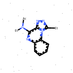 CCc1nnc2c(N(CC)C(C)=O)nc3ccccc3n12